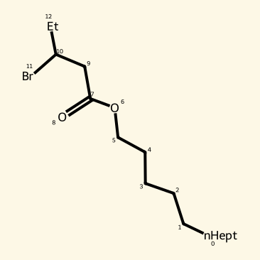 CCCCCCCCCCCCOC(=O)CC(Br)CC